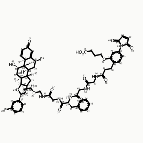 C[C@]12C=CC(=O)C=C1[C@@H](F)C[C@H]1[C@@H]3C[C@H]4O[C@@H](c5cccc(F)c5)O[C@@]4(C(=O)COCNC(=O)CNC(=O)[C@H](Cc4ccccc4)NC(=O)CNC(=O)CNC(=O)CCc4ccc(N5C(=O)C=CC5=O)cc4OCCCC(=O)O)[C@@]3(C)C[C@H](O)[C@@]12F